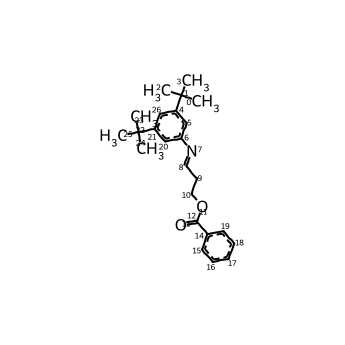 CC(C)(C)c1cc(N=CCCOC(=O)c2ccccc2)cc(C(C)(C)C)c1